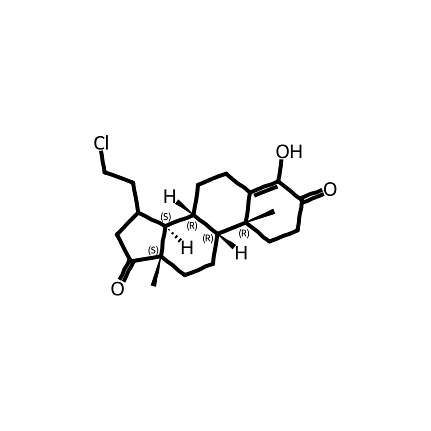 C[C@]12CCC(=O)C(O)=C1CC[C@@H]1[C@H]2CC[C@]2(C)C(=O)CC(CCCl)[C@@H]12